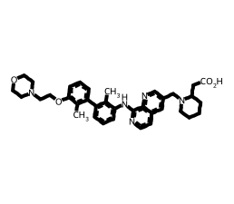 Cc1c(Nc2nccc3cc(CN4CCCCC4CC(=O)O)cnc23)cccc1-c1cccc(OCCN2CCOCC2)c1C